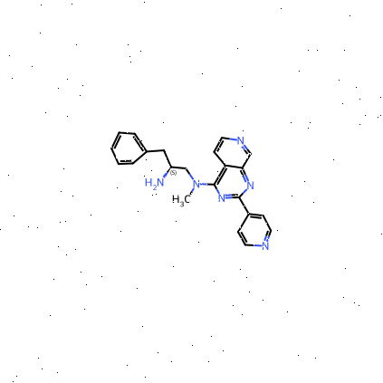 CN(C[C@@H](N)Cc1ccccc1)c1nc(-c2ccncc2)nc2cnccc12